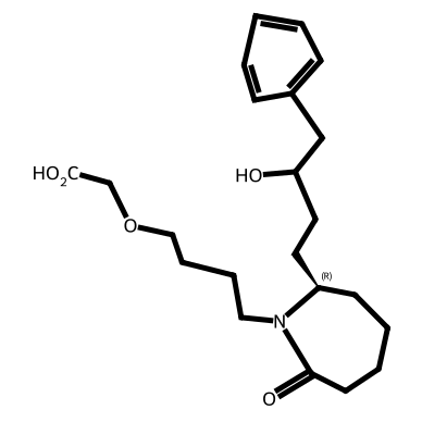 O=C(O)COCCCCN1C(=O)CCCC[C@@H]1CCC(O)Cc1ccccc1